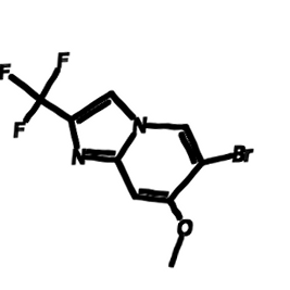 COc1cc2nc(C(F)(F)F)cn2cc1Br